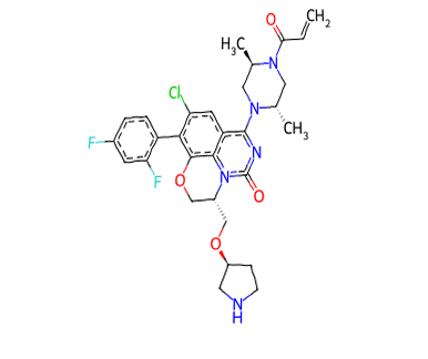 C=CC(=O)N1C[C@H](C)N(c2nc(=O)n3c4c(c(-c5ccc(F)cc5F)c(Cl)cc24)OC[C@H]3CO[C@H]2CCNC2)C[C@H]1C